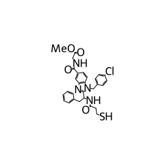 COC(=O)CNC(=O)c1ccc2c(c1)nc(C(Cc1ccccc1)NC(=O)CCS)n2Cc1ccc(Cl)cc1